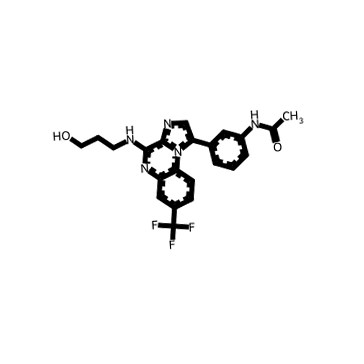 CC(=O)Nc1cccc(-c2cnc3c(NCCCO)nc4cc(C(F)(F)F)ccc4n23)c1